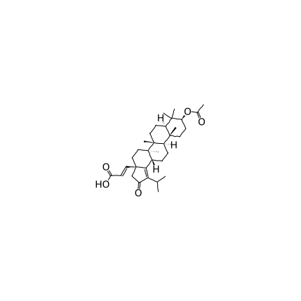 CC(=O)O[C@H]1CC[C@]2(C)[C@H]3CC[C@@H]4C5=C(C(C)C)C(=O)C[C@]5(/C=C/C(=O)O)CC[C@@]4(C)[C@]3(C)CC[C@H]2C1(C)C